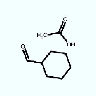 CC(=O)O.O=CC1CCCCC1